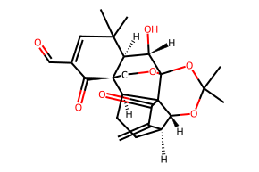 C=C1C(=O)C23[C@@H]4OC(C)(C)OC25OC[C@]2(C(=O)C(C=O)=CC(C)(C)[C@H]2[C@@H]5O)[C@@H]3CC[C@@H]14